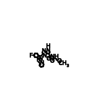 COC[CH]C(=O)NC(=O)c1c[nH]c2ncc(-c3nn(Cc4ccccn4)c4cc(F)ccc34)nc12